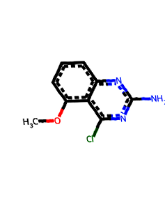 COc1cccc2nc(N)nc(Cl)c12